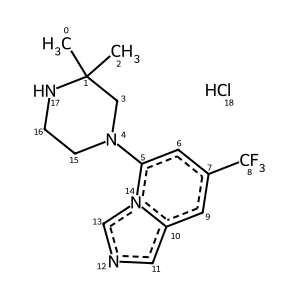 CC1(C)CN(c2cc(C(F)(F)F)cc3cncn23)CCN1.Cl